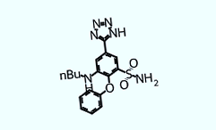 CCCCNc1cc(-c2nnn[nH]2)cc(S(N)(=O)=O)c1Oc1ccccc1